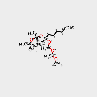 CCCCCCCCCCCCCC[Si](C)(O[SiH2]O[SiH2]O[SiH3])O[Si](C)(C)O[Si](C)(C)C